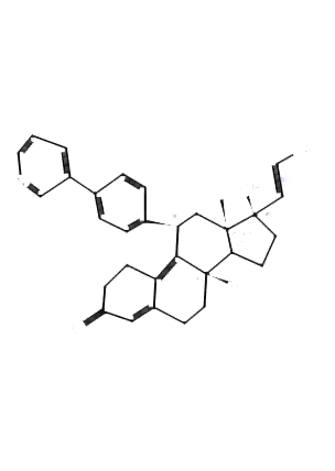 C[C@]12C[C@H](c3ccc(-c4cccnc4)cc3)C3=C4CCC(=O)C=C4CC[C@H]3[C@@H]1CC[C@@]2(O)/C=C/C(F)(F)F